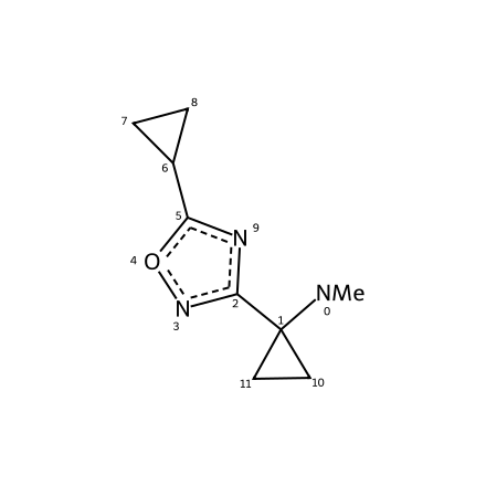 CNC1(c2noc(C3CC3)n2)CC1